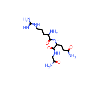 N=C(N)NCCCC(N)C(=O)NC(CCC(N)=O)C(=O)NCC(N)=O